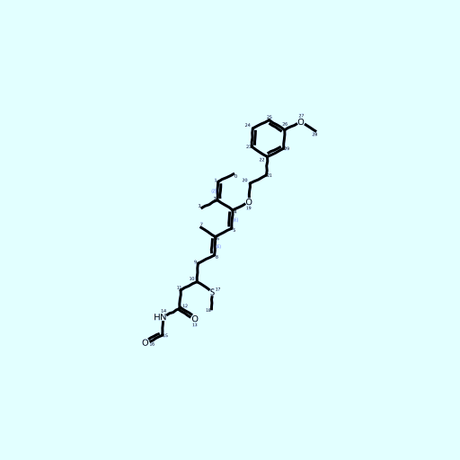 C\C=C(C)/C(=C\C(C)=C\CC(CC(=O)NC=O)SC)OCCc1cccc(OC)c1